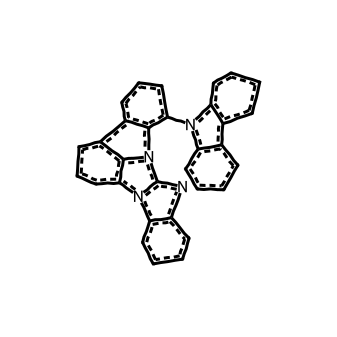 c1ccc2c(c1)nc1n2c2cccc3c4cccc(-n5c6ccccc6c6ccccc65)c4n1c32